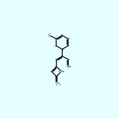 C=C1C=C(/C=C(\C=N)C2C=CC=C(Cl)C2)P1